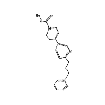 CC(C)(C)OC(=O)N1CC=C(c2ccc(CCCc3ccccc3)nc2)CC1